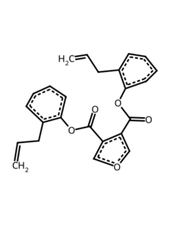 C=CCc1ccccc1OC(=O)c1cocc1C(=O)Oc1ccccc1CC=C